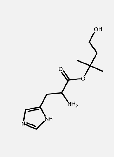 CC(C)(CCO)OC(=O)C(N)Cc1cnc[nH]1